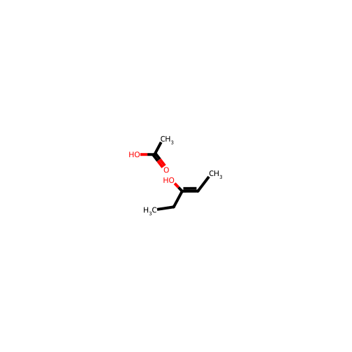 CC(=O)O.CC=C(O)CC